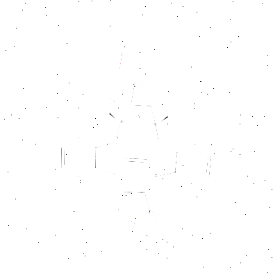 CCOC(=O)[C@@]1(N)C[C@H]2C[C@@H]1n1c3ccccc3c3c4c(c5c6ccccc6n2c5c31)C(=O)NC4